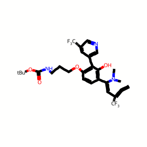 C=C=C(/C=C(/c1ccc(OCCCNC(=O)OC(C)(C)C)c(-c2cncc(C(F)(F)F)c2)c1O)N(C)C)C(F)(F)F